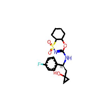 O=S1(=O)N=C(N[C@@H](CC2(O)CC2)c2ccc(F)cc2)OC2CCCCC21